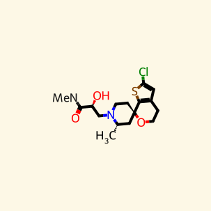 CNC(=O)[C@@H](O)CN1CC[C@]2(C[C@@H]1C)OCCc1cc(Cl)sc12